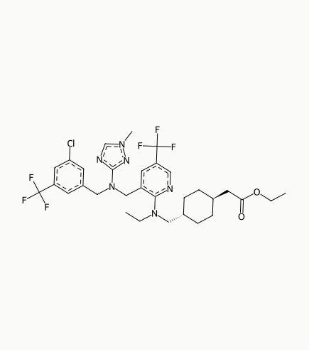 CCOC(=O)C[C@H]1CC[C@H](CN(CC)c2ncc(C(F)(F)F)cc2CN(Cc2cc(Cl)cc(C(F)(F)F)c2)c2ncn(C)n2)CC1